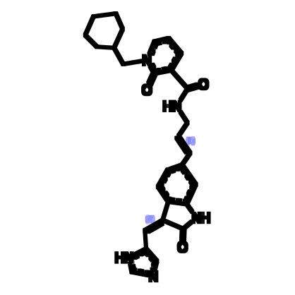 O=C1Nc2cc(/C=C/CNC(=O)c3cccn(CC4CCCCC4)c3=O)ccc2/C1=C/c1cnc[nH]1